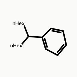 CCCCCCC(CCCCCC)c1[c]cccc1